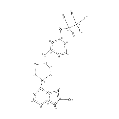 [O]c1nc2c(N3CCC(Oc4cccc(OC(F)(F)C(F)(F)F)c4)CC3)cccc2s1